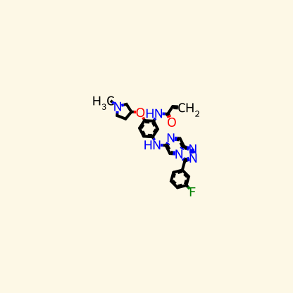 C=CC(=O)Nc1cc(Nc2cn3c(-c4cccc(F)c4)nnc3cn2)ccc1OC1CCN(C)C1